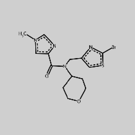 Cn1cnc(C(=O)N(Cc2csc(Br)n2)C2CCOCC2)c1